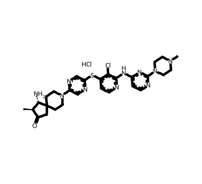 C[C@@H]1C(=O)CC2(CCN(c3cnc(Sc4ccnc(Nc5ccnc(N6CCN(C)CC6)n5)c4Cl)cn3)CC2)[C@H]1N.Cl